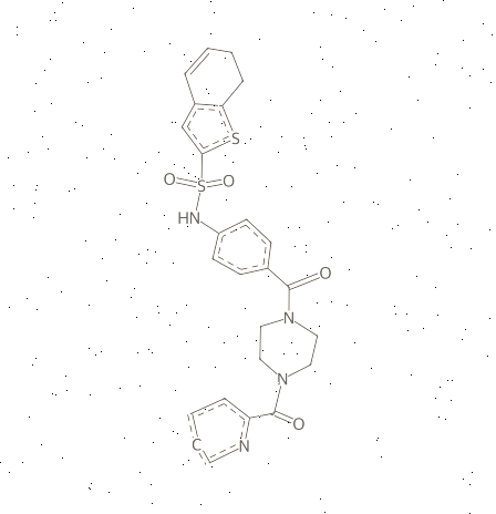 O=C(c1ccc(NS(=O)(=O)c2cc3c(s2)CCC=C3)cc1)N1CCN(C(=O)c2ccccn2)CC1